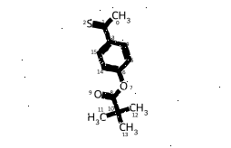 CC(=S)c1ccc(OC(=O)C(C)(C)C)cc1